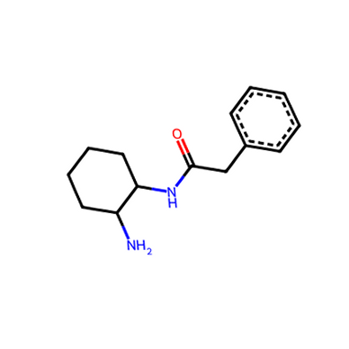 NC1CCCCC1NC(=O)Cc1ccccc1